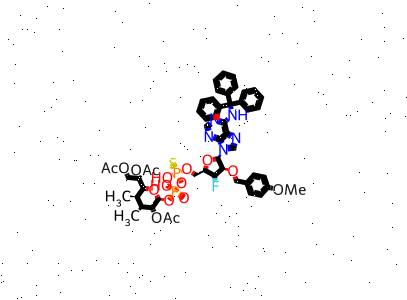 COc1ccc(CO[C@H]2C(F)[C@@H](COP(O)(=S)OP(=O)(O)O[C@@H]3OC([C@@H](COC(C)=O)OC(C)=O)[C@@H](C)[C@H](C)C3OC(C)=O)O[C@H]2n2cnc3c(NC(c4ccccc4)(c4ccccc4)c4ccccc4)ncnc32)cc1